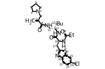 C=C(CN1CCCC1)C(=O)NC[C@@H](NC(=O)[C@H](Cc1nc2ccc(Cl)cc2s1)NC(=O)CC)[C@@H](C)CC